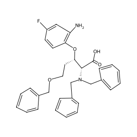 Nc1cc(F)ccc1O[C@@H](CCOCc1ccccc1)[C@H](C(=O)O)N(Cc1ccccc1)Cc1ccccc1